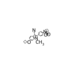 CCn1c(-c2ccc(N3CCCS3(=O)=O)cc2)c(C#N)c2ccc(OC3CCC3)cc21